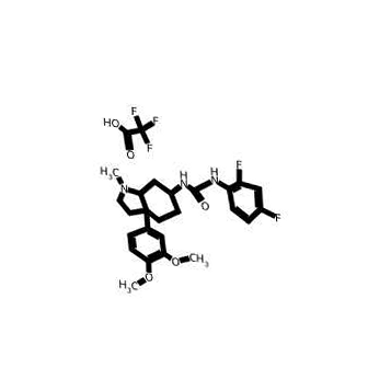 COc1ccc(C23CCC(NC(=O)Nc4ccc(F)cc4F)CC2N(C)CC3)cc1OC.O=C(O)C(F)(F)F